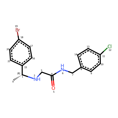 C[C@@H](NCC(=O)NCc1ccc(Cl)cc1)c1ccc(Br)cc1